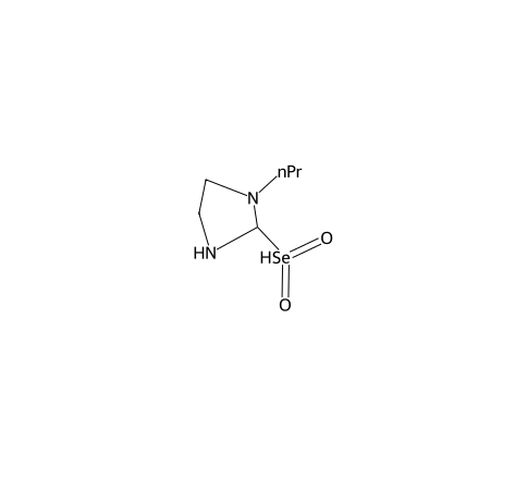 CCCN1CCNC1[SeH](=O)=O